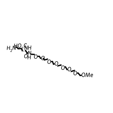 COCCOCCOCCOCCOCCOCCOCCOCCNC(=O)[C@H](CCCCN)NC(=O)O